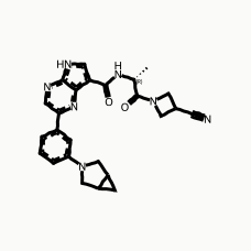 C[C@@H](NC(=O)c1c[nH]c2ncc(-c3cccc(N4CC5CC5C4)c3)nc12)C(=O)N1CC(C#N)C1